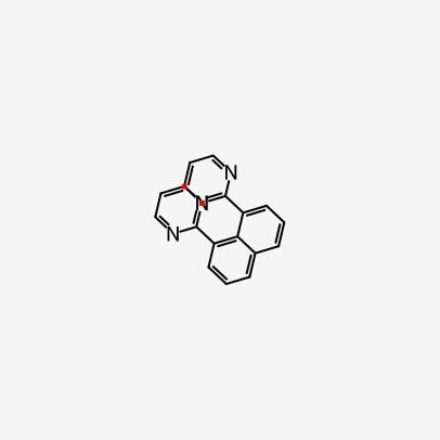 c1cnc(-c2cccc3cccc(-c4ncccn4)c23)nc1